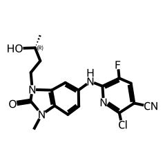 C[C@@H](O)CCn1c(=O)n(C)c2ccc(Nc3nc(Cl)c(C#N)cc3F)cc21